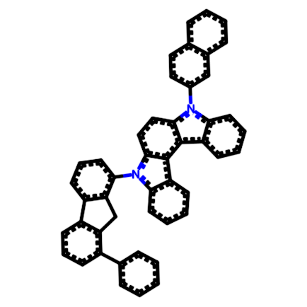 c1ccc(-c2cccc3c2Cc2c-3cccc2-n2c3ccccc3c3c4c5ccccc5n(-c5ccc6ccccc6c5)c4ccc32)cc1